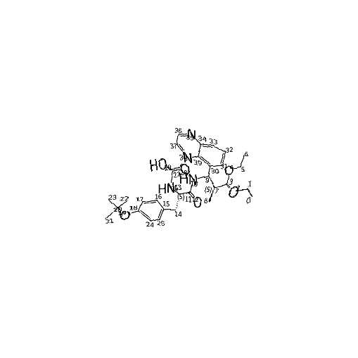 CCOC(OCC)[C@@H](C)C(NC(=O)[C@H](Cc1ccc(OC(C)(C)C)cc1)NC(=O)O)c1cccc2nccnc12